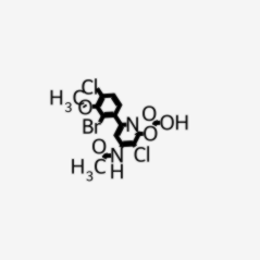 COc1c(Cl)ccc(-c2cc(NC(C)=O)c(Cl)c(OC(=O)O)n2)c1Br